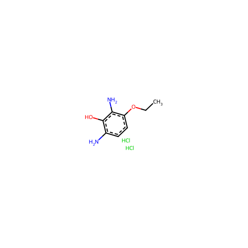 CCOc1ccc(N)c(O)c1N.Cl.Cl